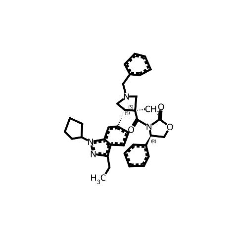 CCc1nn(C2CCCC2)c2cc([C@@H]3CN(Cc4ccccc4)C[C@@]3(C)C(=O)N3C(=O)OC[C@H]3c3ccccc3)ccc12